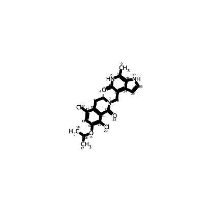 Cc1[nH]c(=O)c(CN2CCc3c(Cl)cc(OC(C)C)c(Cl)c3C2=O)c2cc[nH]c12